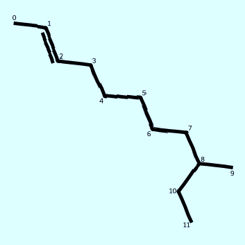 CC=CCCCCCC(C)CC